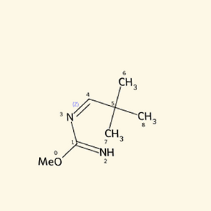 COC(=N)/N=C\C(C)(C)C